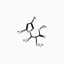 CC(C)(C)OC(=O)C(C(=O)O)C(N)[SH]1C=C(Br)C=C1N